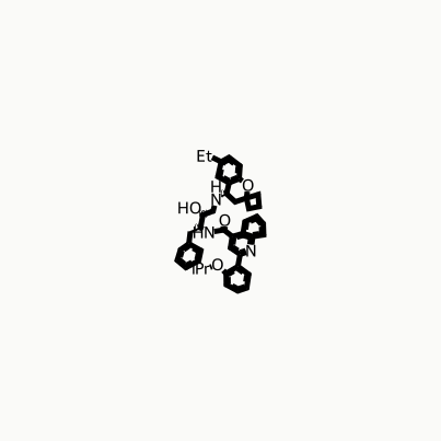 CCc1ccc2c(c1)[C@@H](NC[C@H](O)[C@H](Cc1ccccc1)NC(=O)c1cc(-c3ccccc3OC(C)C)nc3ccccc13)CC1(CCC1)O2